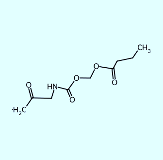 [CH2]C(=O)CNC(=O)OCOC(=O)CCC